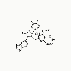 COc1cc(CC2=C(c3ccc4nsnc4c3)C(=O)OC2(O)c2ccc(C)c(C)c2)cc(OC(C)C)c1OC(C)C